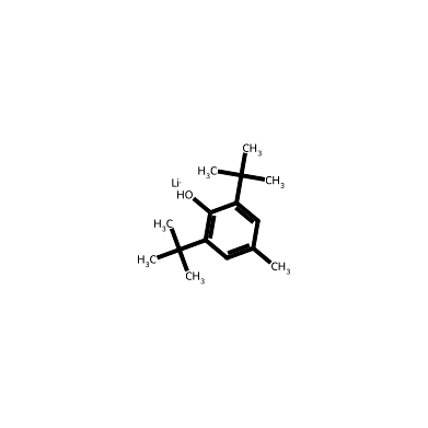 Cc1cc(C(C)(C)C)c(O)c(C(C)(C)C)c1.[Li]